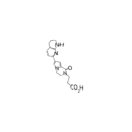 O=C(O)CCN1CCn2cc(-c3ccc4c(n3)NCCC4)cc2C1=O